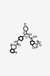 CC(C)N(Cc1c(F)cccc1F)C(=O)Nc1ccc(S(=O)(=O)C(NC[C@H](O)c2ccc(O)c(NS(C)(=O)=O)c2)C2CCNCC2)cc1